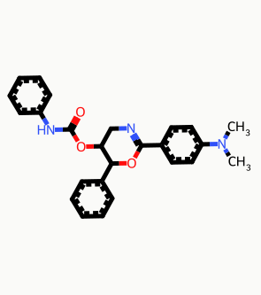 CN(C)c1ccc(C2=NCC(OC(=O)Nc3ccccc3)C(c3ccccc3)O2)cc1